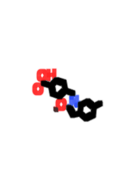 COc1cc(C(=O)O)ccc1CN1C=CC2C=CC(C)=CC21